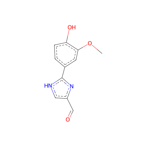 COc1cc(-c2nc(C=O)c[nH]2)ccc1O